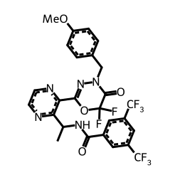 COc1ccc(CN2N=C(c3nccnc3C(C)NC(=O)c3cc(C(F)(F)F)cc(C(F)(F)F)c3)OC(F)(F)C2=O)cc1